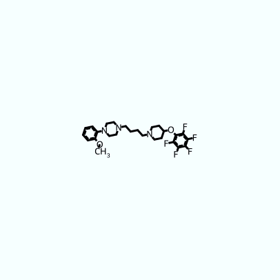 COc1ccccc1N1CCN(CCCCN2CCC(Oc3c(F)c(F)c(F)c(F)c3F)CC2)CC1